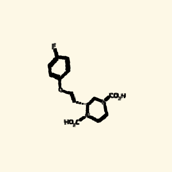 O=C(O)N1CCN(C(=O)O)[C@H](CCOc2ccc(F)cc2)C1